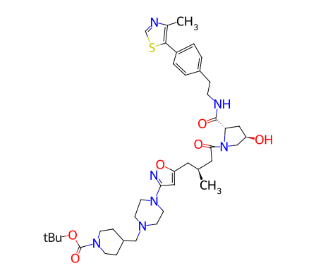 Cc1ncsc1-c1ccc(CCNC(=O)[C@@H]2C[C@@H](O)CN2C(=O)C[C@@H](C)Cc2cc(N3CCN(CC4CCN(C(=O)OC(C)(C)C)CC4)CC3)no2)cc1